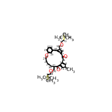 CC1C=C2CC(=O)C3=CC(COCCS(C)(C)C)C(=C3)c3cccc(c3)OCCCCC(COCCS(C)(C)C)C(=O)C2=C1